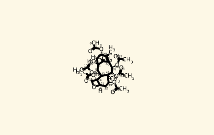 CC(=O)O[C@H]1C[C@@]2(O)[C@@H](OC(C)=O)[C@@H]3[C@]4(OC(C)=O)CO[C@@H]4C[C@H](OC(C)=O)[C@@]3(C)[C@@H](OC(C)=O)[C@H](OC(C)=O)C(=C1C)C2(C)C